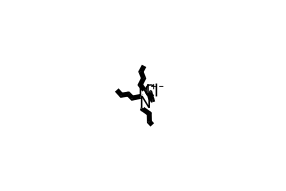 CCCCc1n(CCCC)cc[n+]1CCCC.[Cl-]